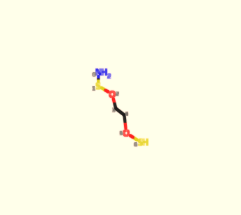 NSOCCOS